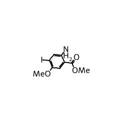 COC(=O)c1cc(OC)c(I)cc1N